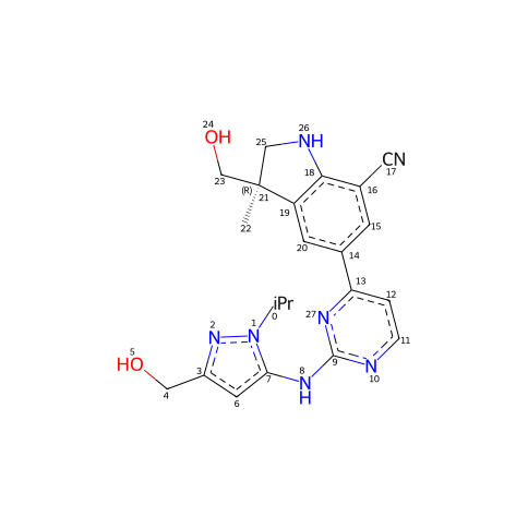 CC(C)n1nc(CO)cc1Nc1nccc(-c2cc(C#N)c3c(c2)[C@@](C)(CO)CN3)n1